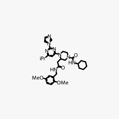 COc1ccc(OC)c(CNC(=O)CC2CN(C(=O)NC3CCCCC3)CCN2c2cc(C(C)C)nc(-n3ccnc3)n2)c1